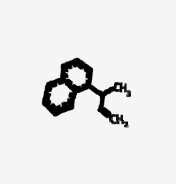 C=CC(C)c1cccc2ccccc12